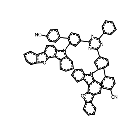 N#Cc1ccc(-c2ccc(-c3nc(-c4ccccc4)nc(-c4ccc(-c5ccc(C#N)cc5)c(-n5c6ccccc6c6c7oc8ccccc8c7ccc65)c4)n3)cc2-n2c3ccccc3c3c4oc5ccccc5c4ccc32)cc1